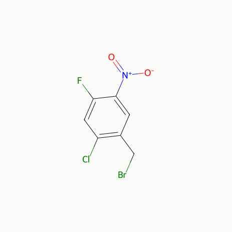 O=[N+]([O-])c1cc(CBr)c(Cl)cc1F